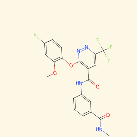 CNC(=O)c1cccc(NC(=O)c2cc(C(F)(F)F)nnc2Oc2ccc(F)cc2OC)c1